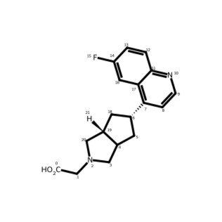 O=C(O)CN1CC2C[C@@H](c3ccnc4ccc(F)cc34)C[C@H]2C1